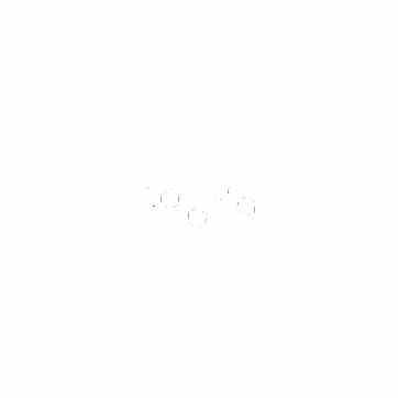 COC(=O)c1cc(F)c(-c2cccc3c2OCN(C(=O)c2c(C)cc(Br)cc2Cl)C3)cc1N1C2CCC1COC2